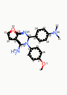 COc1ccc(N2C(N)=c3ccoc3=NC2c2ccc(N(C)C)cc2)cc1